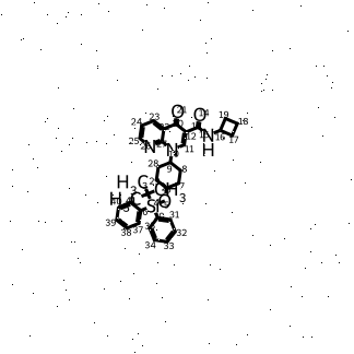 CC(C)(C)[Si](OC1CCC(n2cc(C(=O)NC3CCC3)c(=O)c3cccnc32)CC1)(c1ccccc1)c1ccccc1